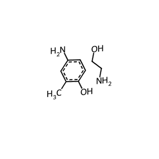 Cc1cc(N)ccc1O.NCCO